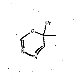 CC(C)C1(C)C=NN=CO1